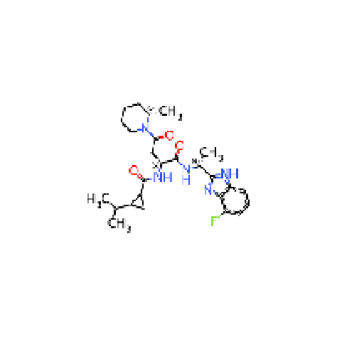 CC(C)C1CC1C(=O)N[C@@H](CC(=O)N1CCCC[C@@H]1C)C(=O)N[C@H](C)c1nc2c(F)cccc2[nH]1